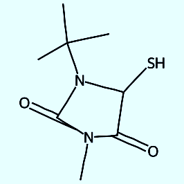 CN1C(=O)C(S)N(C(C)(C)C)C1=O